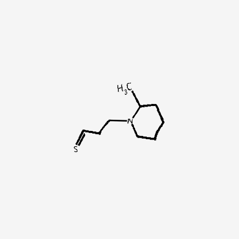 CC1CCCCN1CCC=S